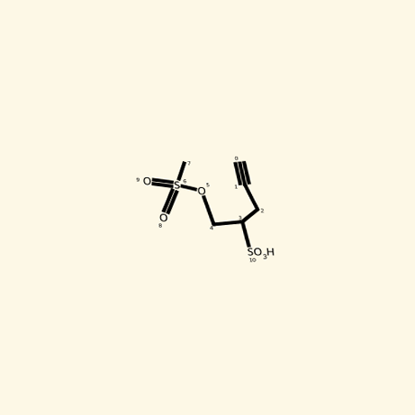 C#CCC(COS(C)(=O)=O)S(=O)(=O)O